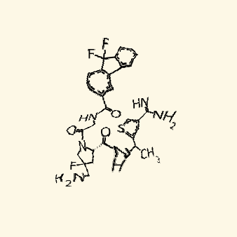 CC(NC(=O)[C@@H]1C[C@](F)(CN)CN1C(=O)CNC(=O)c1ccc2c(c1)-c1ccccc1C2(F)F)c1cc(C(=N)N)cs1